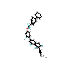 Fc1cc(OC(F)(F)c2ccc(C3=CCCCC3)cc2)ccc1-c1cc(F)c2c(F)c(C#CC(F)(F)F)c(F)cc2c1